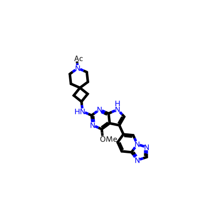 COc1nc(NC2CC3(CCN(C(C)=O)CC3)C2)nc2[nH]cc(-c3ccc4ncnn4c3)c12